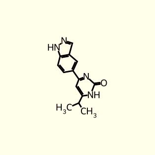 CC(C)c1cc(-c2ccc3[nH]ncc3c2)nc(=O)[nH]1